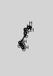 CCc1c[nH]c2ncc(-c3cccc(N4CCN(C(=O)CCCCCNc5cccc6c5C(=O)N(C5CCC(=O)NC5=O)C6=O)CC4=O)c3)c(Cl)c12